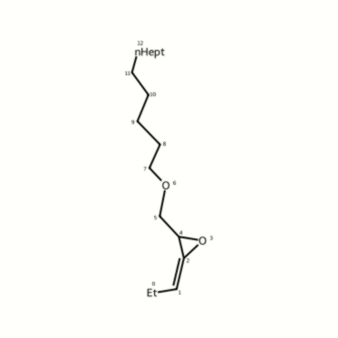 CCC=C1OC1COCCCCCCCCCCCC